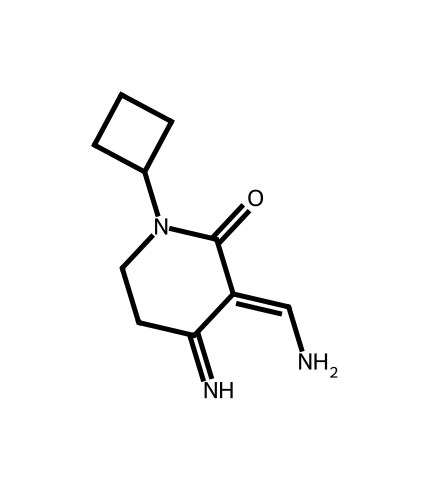 N=C1CCN(C2CCC2)C(=O)/C1=C/N